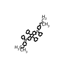 CC(C)Cc1ccc(N(c2ccccc2)c2ccc3c(-c4ccccc4)c4cc(N(c5ccccc5)c5ccc(CC(C)C)cc5)ccc4c(-c4ccccc4)c3c2)cc1